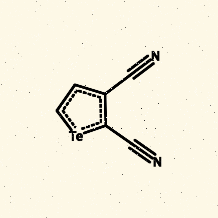 N#Cc1cc[te]c1C#N